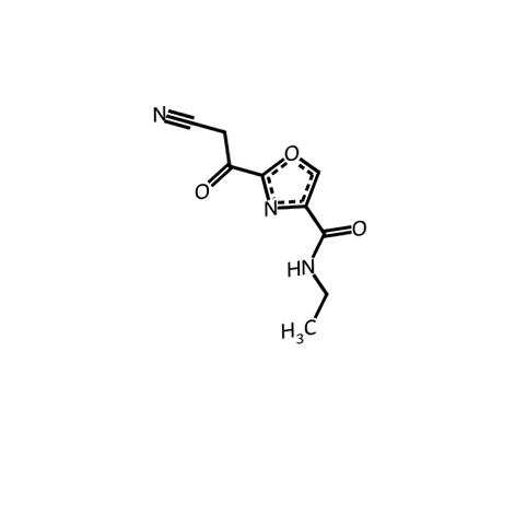 CCNC(=O)c1coc(C(=O)CC#N)n1